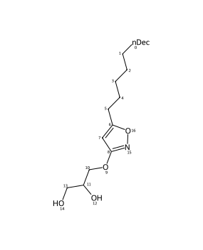 CCCCCCCCCCCCCCCc1cc(OCC(O)CO)no1